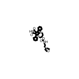 O=C(NCCCN1CCOCC1)OC1CCn2c3ccccc3c3c4c(c5c6ccccc6n(c5c32)C1)C(=O)NC4=O